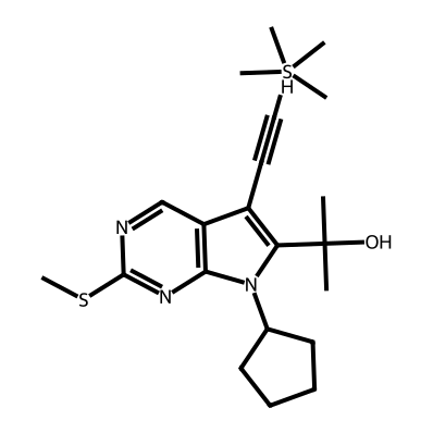 CSc1ncc2c(C#C[SH](C)(C)(C)C)c(C(C)(C)O)n(C3CCCC3)c2n1